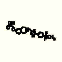 CC(F)(F)c1ccc(-c2ncc(CN3CCc4ccc(OCC(=O)O)cc4CC3)s2)cc1